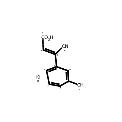 Cc1cccc(C(C#N)=CC(=O)O)c1.[KH]